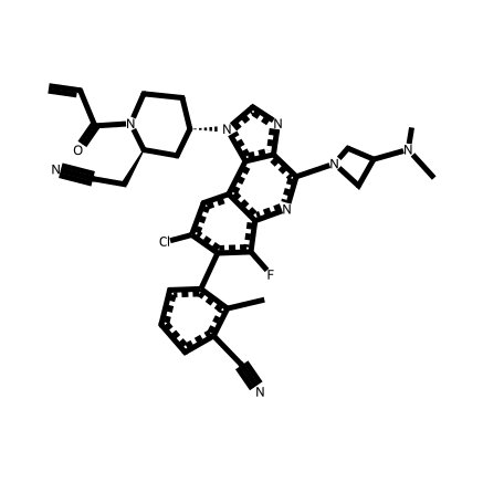 C=CC(=O)N1CC[C@H](n2cnc3c(N4CC(N(C)C)C4)nc4c(F)c(-c5cccc(C#N)c5C)c(Cl)cc4c32)C[C@H]1CC#N